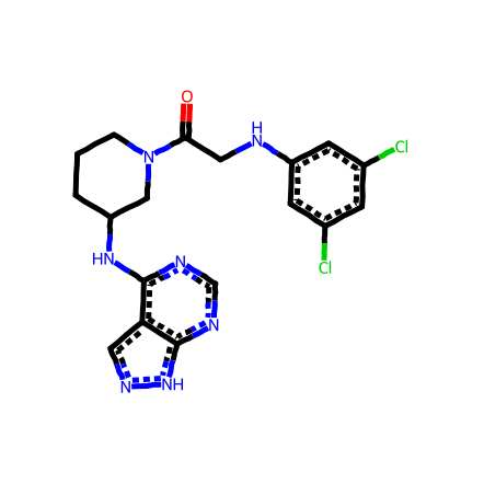 O=C(CNc1cc(Cl)cc(Cl)c1)N1CCCC(Nc2ncnc3[nH]ncc23)C1